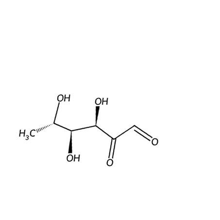 C[C@H](O)[C@H](O)[C@@H](O)C(=O)C=O